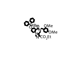 CCOC(=O)c1ncn2c1CN(Cc1ccc(OC)cc1OC)C(=O)c1cc(O[Si](c3ccccc3)(c3ccccc3)C(C)(C)C)ccc1-2